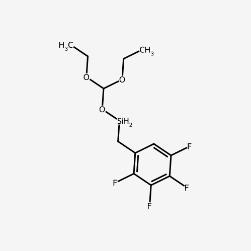 CCOC(OCC)O[SiH2]Cc1cc(F)c(F)c(F)c1F